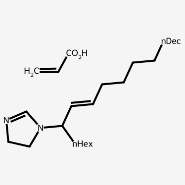 C=CC(=O)O.CCCCCCCCCCCCCCC=CC(CCCCCC)N1C=NCC1